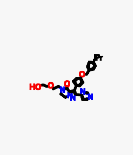 CC(C)c1ccc(COc2ccc(-c3c(-c4ccncn4)nn4c3C(=O)N(CCOCCO)CC4)cc2)cc1